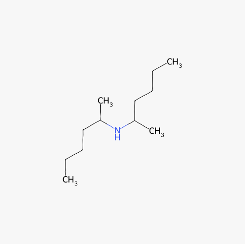 CCCCC(C)NC(C)CCCC